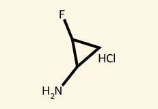 Cl.NC1CC1F